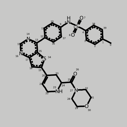 Cc1ccc(S(=O)(=O)Nc2ccc(-c3ncnc4cc(C5=CCNC(C(=O)N6CCOCC6)C5)sc34)cc2)cc1